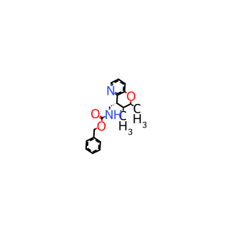 C[C@@H]1[C@H](C)Oc2cccnc2[C@H]1CNC(=O)OCc1ccccc1